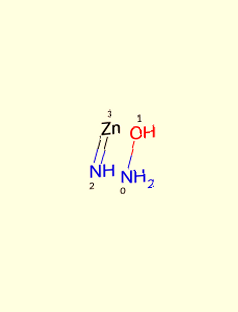 NO.[NH]=[Zn]